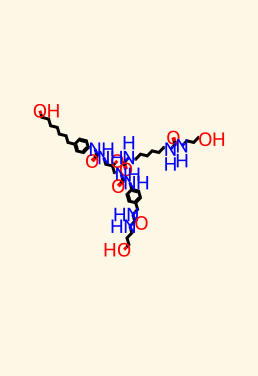 O=C(NCCCO)NCCCCCCNC(=O)OC(CNC(=O)Nc1ccc(CCCCCCCO)cc1)CNC(=O)Nc1ccc(CNC(=O)NCCCO)cc1